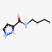 CCCCNC(=O)c1cc[nH]n1